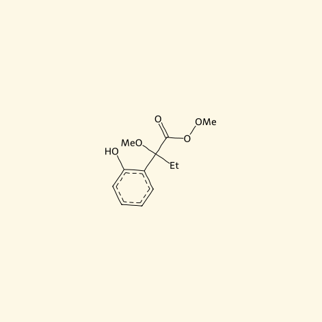 CCC(OC)(C(=O)OOC)c1ccccc1O